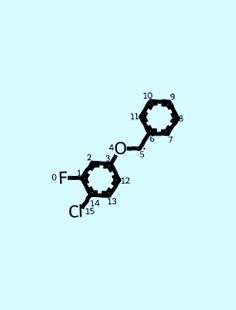 Fc1cc(O[CH]c2ccccc2)ccc1Cl